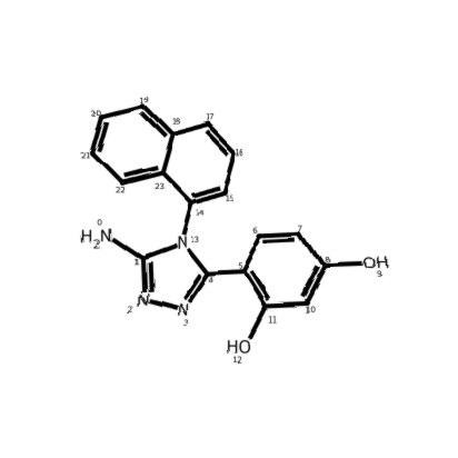 Nc1nnc(-c2ccc(O)cc2O)n1-c1cccc2ccccc12